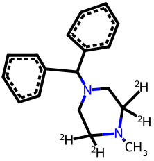 [2H]C1([2H])CN(C(c2ccccc2)c2ccccc2)CC([2H])([2H])N1C